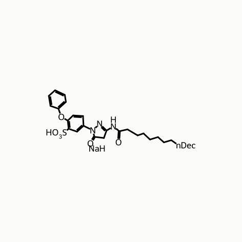 CCCCCCCCCCCCCCCCCC(=O)NC1=NN(c2ccc(Oc3ccccc3)c(S(=O)(=O)O)c2)C(=O)C1.[NaH]